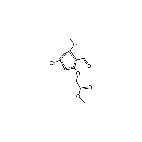 COC(=O)COc1cc(Cl)cc(OC)c1C=O